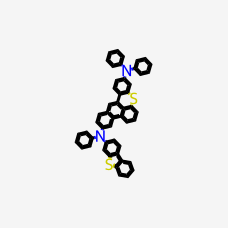 c1ccc(N(c2ccccc2)c2ccc3c(c2)Sc2cccc4c2c-3cc2ccc(N(c3ccccc3)c3ccc5c(c3)sc3ccccc35)cc24)cc1